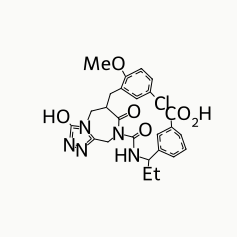 CCC(NC(=O)N1Cc2nnc(O)n2CC(Cc2cc(Cl)ccc2OC)C1=O)c1cccc(C(=O)O)c1